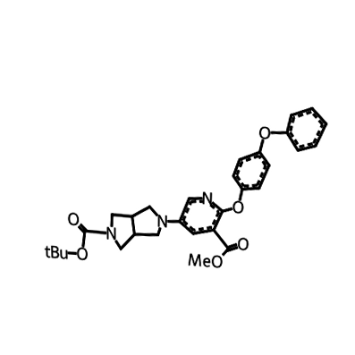 COC(=O)c1cc(N2CC3CN(C(=O)OC(C)(C)C)CC3C2)cnc1Oc1ccc(Oc2ccccc2)cc1